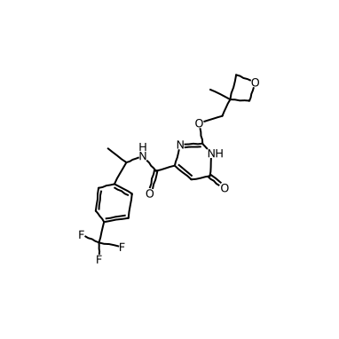 CC(NC(=O)c1cc(=O)[nH]c(OCC2(C)COC2)n1)c1ccc(C(F)(F)F)cc1